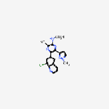 Cn1ccc(-c2nc(NC(=O)O)c(C#N)nc2-c2cc(Cl)c3ncccc3c2)n1